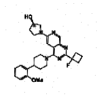 COc1ccccc1C1CCN(c2nc(C3(F)CCC3)nc3cnc(N4CC[C@@H](O)C4)cc23)CC1